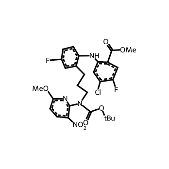 COC(=O)c1cc(F)c(Cl)cc1Nc1ccc(F)cc1CCCN(C(=O)OC(C)(C)C)c1nc(OC)ccc1[N+](=O)[O-]